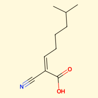 CC(C)CCCC=C(C#N)C(=O)O